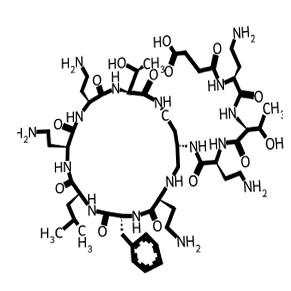 CC(C)C[C@@H]1NC(=O)[C@@H](Cc2ccccc2)NC(=O)[C@H](CCN)NC[C@@H](NC(=O)[C@H](CCN)NC(=O)[C@@H](NC(=O)[C@H](CCN)NC(=O)CCC(=O)O)C(C)O)CCNC(=O)[C@H]([C@H](C)O)NC(=O)[C@H](CCN)NC(=O)[C@H](CCN)NC1=O